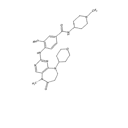 COc1cc(C(=O)NC2CCN(C)CC2)ccc1Nc1ncc2c(n1)N(C1CCOCC1)CCC(=O)N2C